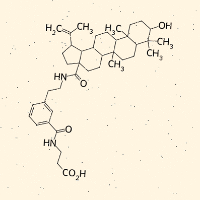 C=C(C)C1CCC2(C(=O)NCCc3cccc(C(=O)NCCC(=O)O)c3)CCC3C(CCC4C3(C)CCC3C(C)(C)C(O)CCC34C)C12